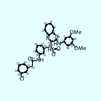 COc1cc(Nc2nc3ccccc3nc2N(c2cccc(NC(=O)Cc3cccc(Cl)c3)c2)[SH](=O)=O)cc(OC)c1